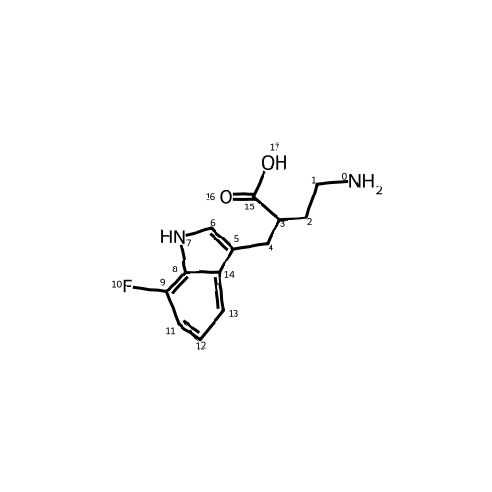 NCCC(Cc1c[nH]c2c(F)cccc12)C(=O)O